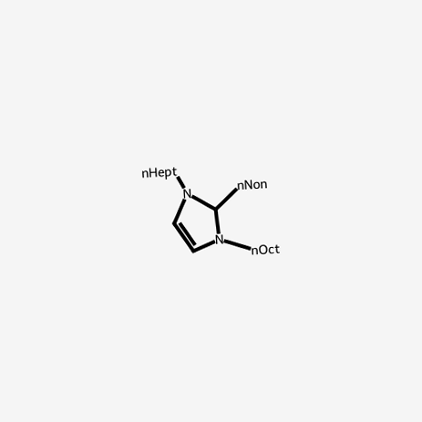 CCCCCCCCCC1N(CCCCCCC)C=CN1CCCCCCCC